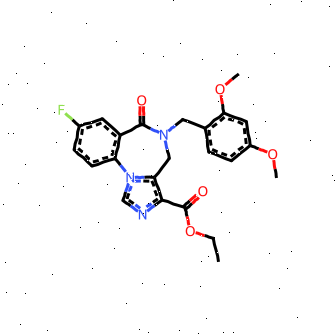 CCOC(=O)c1ncn2c1CN(Cc1ccc(OC)cc1OC)C(=O)c1cc(F)ccc1-2